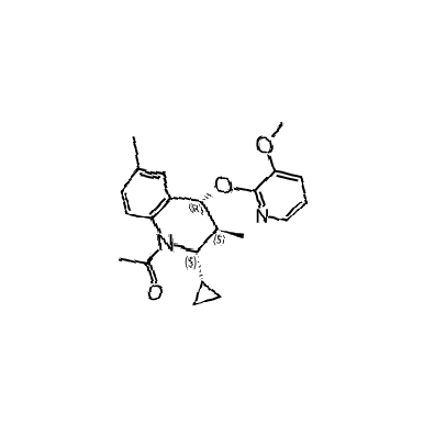 COc1cccnc1O[C@H]1c2cc(C)ccc2N(C(C)=O)[C@@H](C2CC2)[C@@H]1C